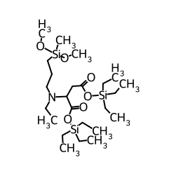 CCN(CCC[Si](C)(OC)OC)C(CC(=O)O[Si](CC)(CC)CC)C(=O)O[Si](CC)(CC)CC